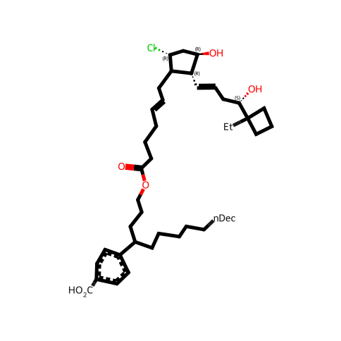 CCCCCCCCCCCCCCCC(CCCOC(=O)CCCC=CCC1[C@H](Cl)C[C@@H](O)[C@@H]1C=CC[C@H](O)C1(CC)CCC1)c1ccc(C(=O)O)cc1